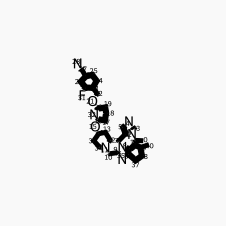 CCn1cncc1Cn1c(CN2CCC(Oc3cccc(OCc4ccc(C#N)cc4F)n3)CC2)nc2ccc(C)cc21